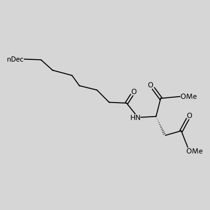 CCCCCCCCCCCCCCCCC(=O)N[C@@H](CC(=O)OC)C(=O)OC